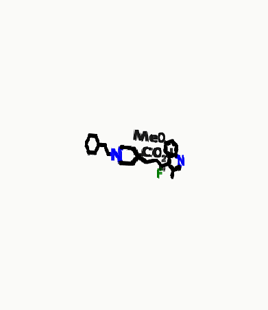 COc1ccc2ncc(C)c([C@@H](F)CCC3(C(=O)O)CCN(CCC4CCCCC4)CC3)c2c1